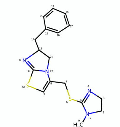 CN1CCN=C1SCC1=CSC2=NC(Cc3ccccc3)CN12